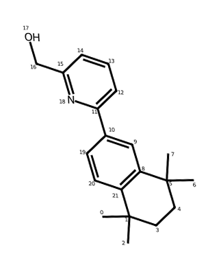 CC1(C)CCC(C)(C)c2cc(-c3cccc(CO)n3)ccc21